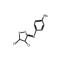 CC(C)(C)c1ccc(/N=C2\SSC(Cl)C2Cl)cc1